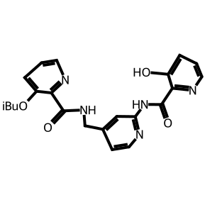 CC(C)COc1cccnc1C(=O)NCc1ccnc(NC(=O)c2ncccc2O)c1